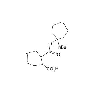 CCCCC1(OC(=O)C2CC=CCC2C(=O)O)CCCCC1